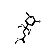 C=C(CCC(OC)(OC)c1cc(C)cc(F)c1)OC